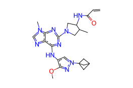 C=CC(=O)NC1CN(c2nc(Nc3cn(C45CC(C4)C5)nc3OC)c3ncn(C)c3n2)CC1C